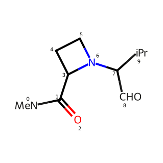 CNC(=O)C1CCN1C(C=O)C(C)C